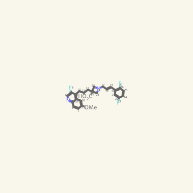 COc1ccc2ncc(F)c(CCCC3(C(=O)O)CN(CC=Cc4cc(F)ccc4F)C3)c2c1